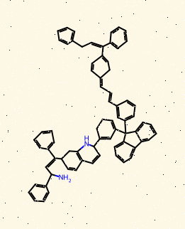 NC(/C=C(/c1ccccc1)C1C=CC2=C(C1)NC(C1=CC(C3(c4cccc(/C=C/C=C5/C=CC(/C(=C\Cc6ccccc6)c6ccccc6)=CC5)c4)c4ccccc4-c4ccccc43)=CCC1)C=C2)c1ccccc1